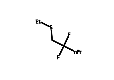 [CH2]CSCC(F)(F)CCC